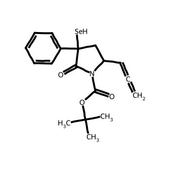 C=C=CC1CC([SeH])(c2ccccc2)C(=O)N1C(=O)OC(C)(C)C